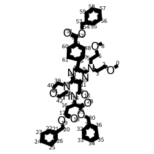 COCCN(CCOC)c1nc(C(=O)NC(CC(=O)OCc2ccccc2)C(=O)OCc2ccccc2)c(N2CCOCC2)nc1-c1ccc(C(=O)OCc2ccccc2)cc1